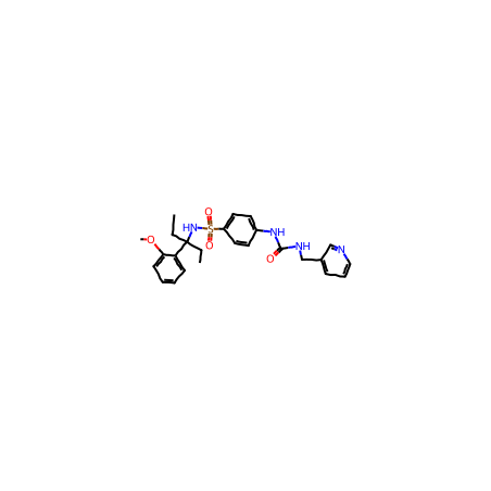 CCC(CC)(NS(=O)(=O)c1ccc(NC(=O)NCc2cccnc2)cc1)c1ccccc1OC